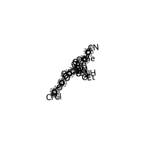 CCC(=O)Nc1nc(C)c(S(=O)(=O)N2Cc3cc4c(cc3CC2C(=O)N[C@@H](Cc2ccc(-c3ccc(C#N)cc3)cc2)C(=O)OC)OC[C@H](c2ccc(OCc3ccc(Cl)c(Cl)c3)cc2)O4)s1